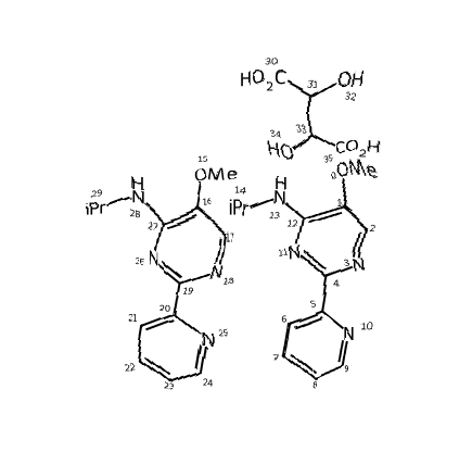 COc1cnc(-c2ccccn2)nc1NC(C)C.COc1cnc(-c2ccccn2)nc1NC(C)C.O=C(O)C(O)C(O)C(=O)O